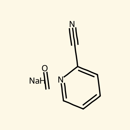 C=O.N#Cc1ccccn1.[NaH]